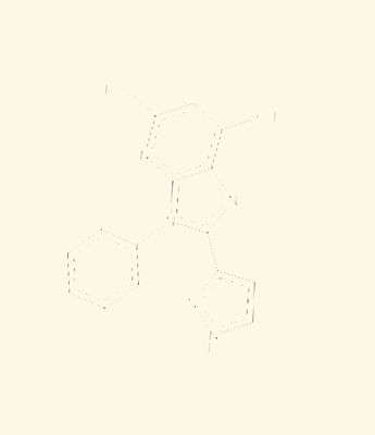 Cc1cc(C)c2nc(-c3cc[nH]n3)n(-c3c[c]ccc3)c2n1